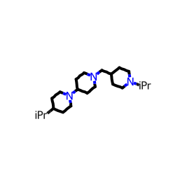 CC(C)C1CCN(C2CCN(CC3CCN(C(C)C)CC3)CC2)CC1